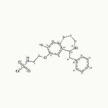 CCS(=O)(=O)NCCOc1cc2c(cc1F)CCCNC2Cc1ccccc1